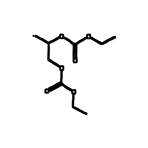 [CH2]C(COC(=O)OCC)OC(=O)OCC